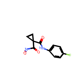 O=NC(=O)C1(C(=O)Nc2ccc(F)cc2)CC1